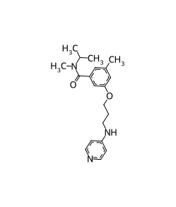 Cc1cc(OCCCNc2ccncc2)cc(C(=O)N(C)C(C)C)c1